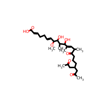 COC(/C=C/CC/C=C/C(=O)O)C(O)C(C)C(O)/C(C)=C/C(C)C(=O)CCCC(CC(C)=O)CC(C)=O